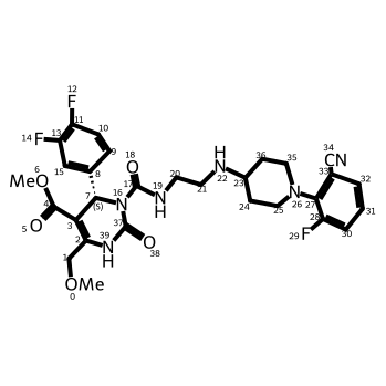 COCC1=C(C(=O)OC)[C@H](c2ccc(F)c(F)c2)N(C(=O)NCCNC2CCN(c3c(F)cccc3C#N)CC2)C(=O)N1